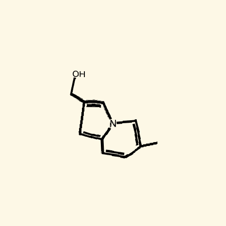 Cc1ccc2cc(CO)cn2c1